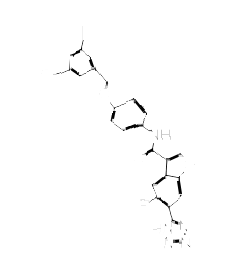 O=C(Nc1ccc(OCc2cc(F)cc(Cl)c2)cc1)c1coc2cc(-c3nnn[nH]3)c(F)cc12